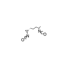 CC(CCC[C@H]1CC1N=C=O)N=C=O